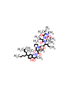 CCCCC(CC=C(C)C)c1ccc([C@H](O)[C@@H](C)NC(=O)[C@H](C)[C@@H](OC)[C@@H]2CCCN2C(=O)C[C@@H](OC)[C@H]([C@@H](C)CC)N(C)C(=O)[C@@H](NC(=O)[C@H](C(C)C)N(C)C(=O)OC)C(C)C)cc1